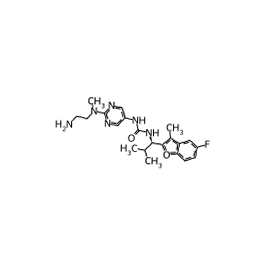 Cc1c([C@H](NC(=O)Nc2cnc(N(C)CCN)nc2)C(C)C)oc2ccc(F)cc12